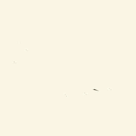 CN(C)c1cc(-c2cccc(-c3csc(NC(=O)[C@@H]4CCN4C(=O)c4ccc5c(c4)S(=O)(=O)CCOC5)n3)c2)ccn1